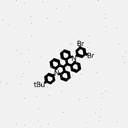 CC(C)(C)C1=CC=C(N2C3C=CC=CC3C(C3C4C=CC=CC4N(C4=CC(Br)=CC(Br)C4)C4C=CC=CC34)C3C=CC=CC32)CC1